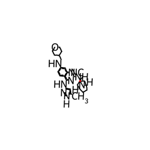 Cc1cc(Nc2nc(N[C@@H]3C[C@H]4CC[C@@H](C3)N4CCC#N)nc3cc(NCC4CCOCC4)ccc23)n[nH]1